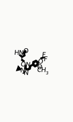 COc1cc(-c2cc3ncn(C4CC4)c3c(OCC[C@H]3CNC(=O)C3)n2)ccc1OCC(F)F